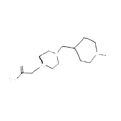 CNC(=O)CN1CCN(CC2CCN(C)CC2)CC1